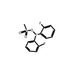 CS(=O)(=O)O[I+](c1ccccc1F)c1ccccc1F